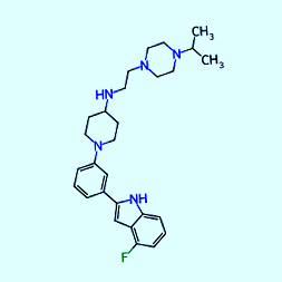 CC(C)N1CCN(CCNC2CCN(c3cccc(-c4cc5c(F)cccc5[nH]4)c3)CC2)CC1